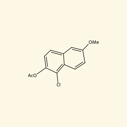 COc1ccc2c(Cl)c(OC(C)=O)ccc2c1